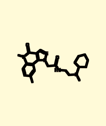 Cc1ccc2c(c1)c1c(cnn1CC(=O)NCCN(C)C1CCCCC1)c(=O)n2C